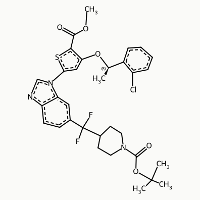 COC(=O)c1sc(-n2cnc3ccc(C(F)(F)C4CCN(C(=O)OC(C)(C)C)CC4)cc32)cc1O[C@H](C)c1ccccc1Cl